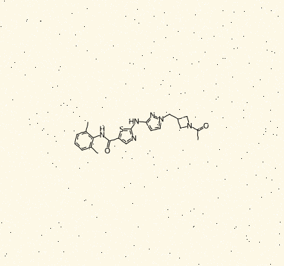 CC(=O)N1CC(Cn2ccc(Nc3ncc(C(=O)Nc4c(C)cccc4C)s3)n2)C1